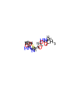 CC1(NC(=O)O[C@@H]2CO[C@H](c3cnc(NC(=O)OC(C)(C)C)s3)C2)CC1